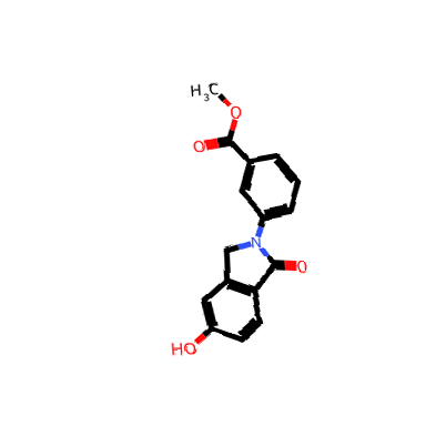 COC(=O)c1cccc(N2Cc3cc(O)ccc3C2=O)c1